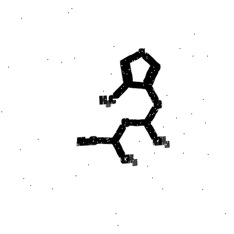 COC(C)OC(C)Oc1cscc1C